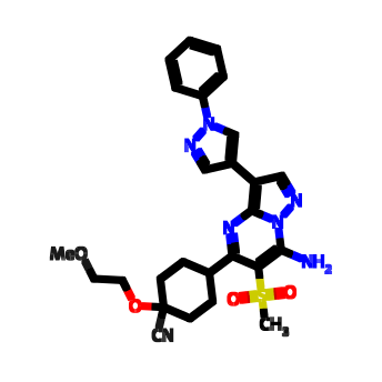 COCCOC1(C#N)CCC(c2nc3c(-c4cnn(-c5ccccc5)c4)cnn3c(N)c2S(C)(=O)=O)CC1